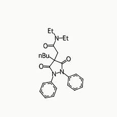 CCCCC1(CC(=O)N(CC)CC)C(=O)N(c2ccccc2)N(c2ccccc2)C1=O